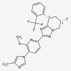 COc1nc(-c2nc3n(n2)C[C@@H](F)C[C@H]3c2ccccc2C(F)(F)F)ccc1-n1cnc(C)c1